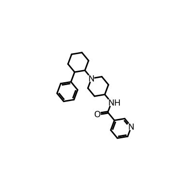 O=C(NC1CCN(C2CCCCC2c2ccccc2)CC1)c1cccnc1